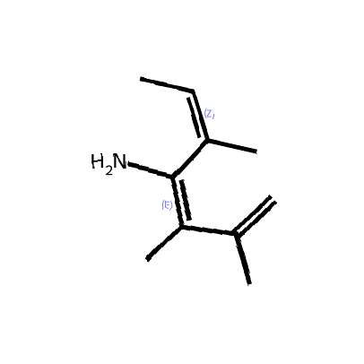 C=C(C)/C(C)=C(N)\C(C)=C/C